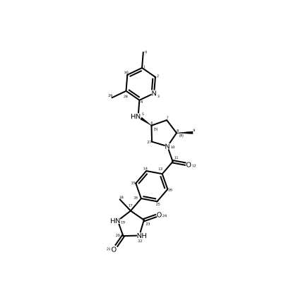 Cc1cnc(N[C@H]2C[C@@H](C)N(C(=O)c3ccc(C4(C)NC(=O)NC4=O)cc3)C2)c(C)c1